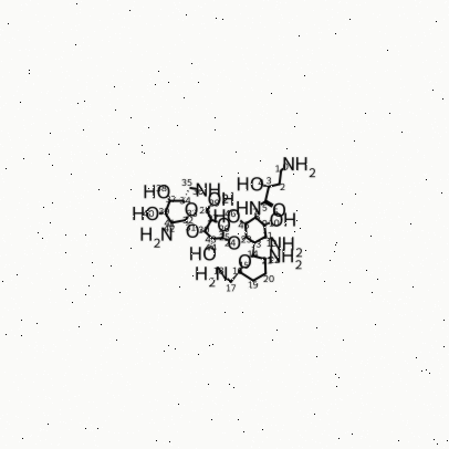 NCC[C@H](O)C(=O)N[C@@H]1[C@@H](O)[C@H](N)[C@@H](C2O[C@H](CN)CC[C@H]2N)[C@H](O[C@@H]2OC(CO)[C@@H](O[C@H]3O[C@@H](CN)[C@@H](O)[C@H](O)[C@H]3N)[C@H]2O)[C@H]1O